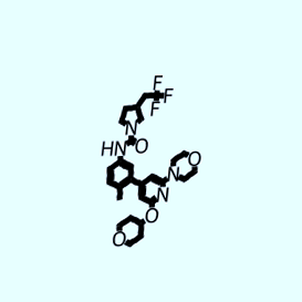 Cc1ccc(NC(=O)N2CCC(CC(F)(F)F)C2)cc1-c1cc(OC2CCOCC2)nc(N2CCOCC2)c1